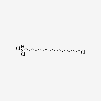 ClCCCCCCCCCCCCCCCCC[SiH](Cl)Cl